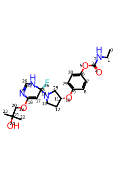 CCNC(=O)Oc1ccc(O[C@@H]2CCN([C@]3(F)C=C(OCC(C)(C)O)N=CN3)C2)cc1